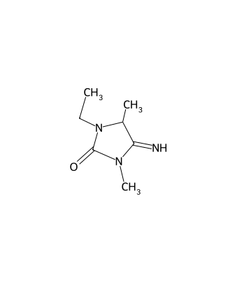 CCN1C(=O)N(C)C(=N)C1C